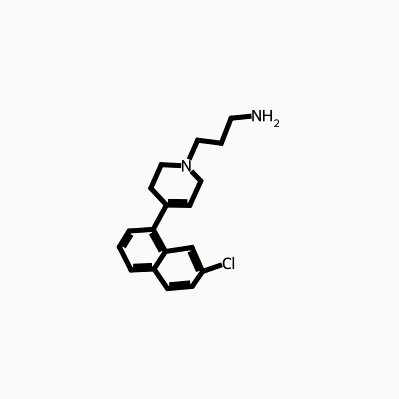 NCCCN1CC=C(c2cccc3ccc(Cl)cc23)CC1